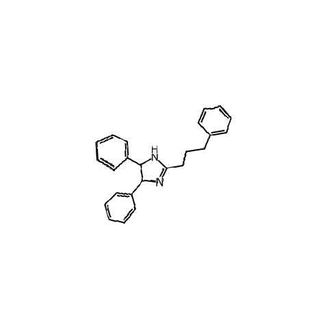 c1ccc(CCCC2=NC(c3ccccc3)C(c3ccccc3)N2)cc1